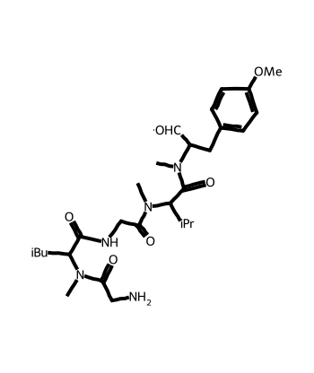 CCC(C)C(C(=O)NCC(=O)N(C)C(C(=O)N(C)C([C]=O)Cc1ccc(OC)cc1)C(C)C)N(C)C(=O)CN